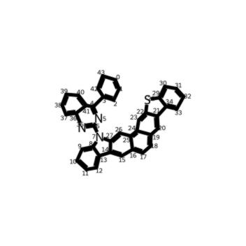 c1ccc(-c2nc(-n3c4ccccc4c4cc5ccc6cc7c(cc6c5cc43)sc3ccccc37)nc3ccccc23)cc1